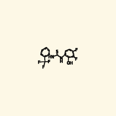 Oc1c(NC(=S)Nc2ccccc2C(F)(F)F)ccc(F)c1F